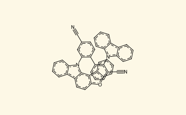 N#Cc1ccc(-c2cccc(C#N)c2-n2c3ccccc3c3ccccc32)c(-n2c3ccccc3c3ccc4oc5ccccc5c4c32)c1